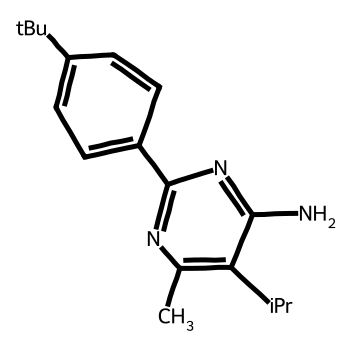 Cc1nc(-c2ccc(C(C)(C)C)cc2)nc(N)c1C(C)C